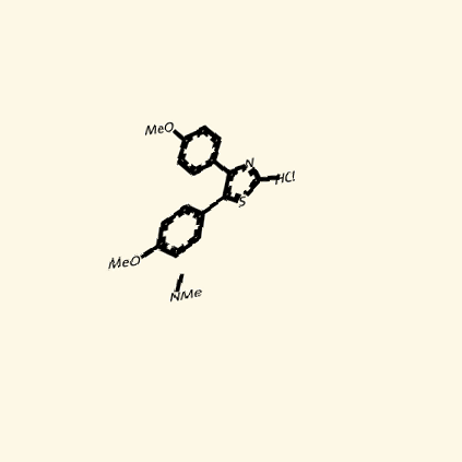 CNC.COc1ccc(-c2nc(C)sc2-c2ccc(OC)cc2)cc1.Cl